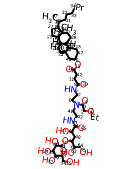 CCOCC(=O)N(CCNC(=O)CCC(=O)OC1CC[C@]2(C)C(=CC[C@@H]3[C@H]4CC[C@@H]([C@@H](C)CCCC(C)C)[C@]4(C)CC[C@H]32)C1)CCNC(=O)C(O)CC(O[C@@H]1OC(CO)[C@H](O)[C@H](O)C1O)C(O)CO